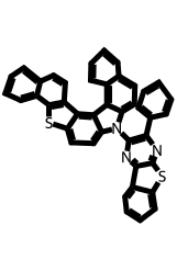 c1ccc(-c2nc3sc4ccccc4c3nc2-n2c3ccc4ccccc4c3c3c4c(ccc32)sc2c3ccccc3ccc24)cc1